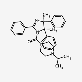 CC(C)N1CCN(C(=O)N2C(c3ccccc3)=N[C@@](C)(c3ccccc3)[C@@]2(C)c2ccccc2)CC1